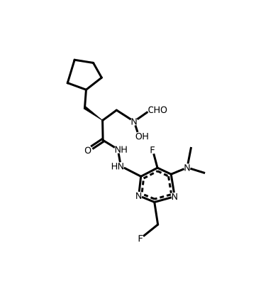 CN(C)c1nc(CF)nc(NNC(=O)[C@@H](CC2CCCC2)CN(O)C=O)c1F